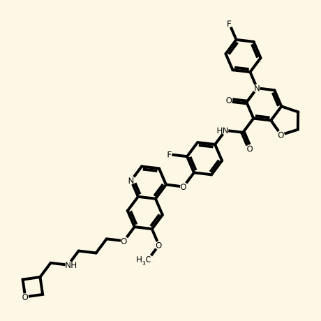 COc1cc2c(Oc3ccc(NC(=O)c4c5c(cn(-c6ccc(F)cc6)c4=O)CCO5)cc3F)ccnc2cc1OCCCNCC1COC1